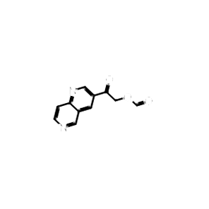 O=COCC(=O)c1cnc2ccncc2c1